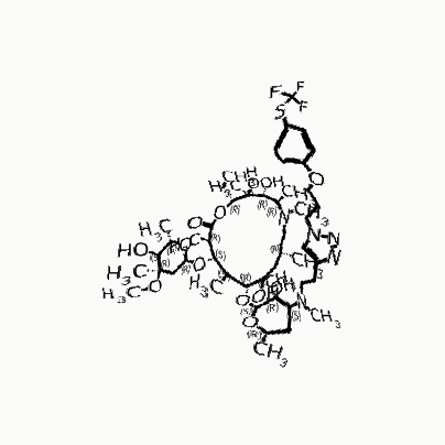 CC[C@H]1OC(=O)[C@H](C)[C@@H](O[C@H]2C[C@@](C)(OC)[C@@H](O)[C@H](C)O2)[C@H](C)[C@@H](O[C@@H]2O[C@H](C)C[C@H](N(C)CCc3cn(CCCOc4ccc(SC(F)(F)F)cc4)nn3)[C@H]2O)[C@](C)(O)C[C@@H](C)CN(C)[C@H](C)[C@@H](O)[C@]1(C)O